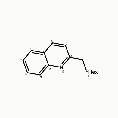 CCCCCCCc1ccc2ccccc2n1